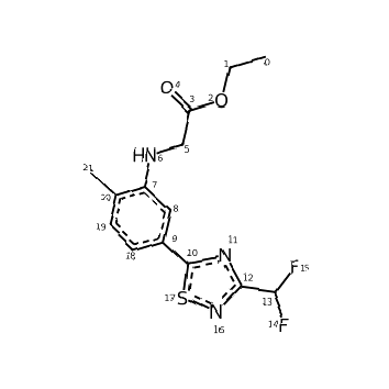 CCOC(=O)CNc1cc(-c2nc(C(F)F)ns2)ccc1C